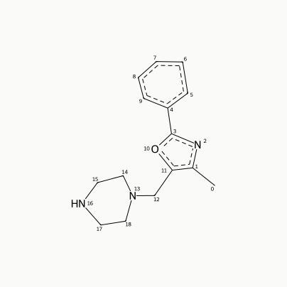 Cc1nc(-c2ccccc2)oc1CN1CCNCC1